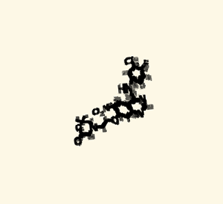 CC1(C)CN(CCOc2cc3ncnc(Nc4ccc(F)c(Cl)c4)c3cc2[N+](=O)[O-])CC(=O)O1